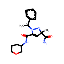 C[C@@H](c1ccccc1)N1NC(C)(C(N)=O)C=C1C(=O)NC1CCCOC1